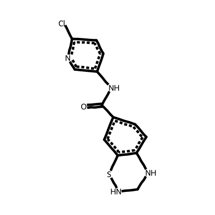 O=C(Nc1ccc(Cl)nc1)c1ccc2c(c1)SNCN2